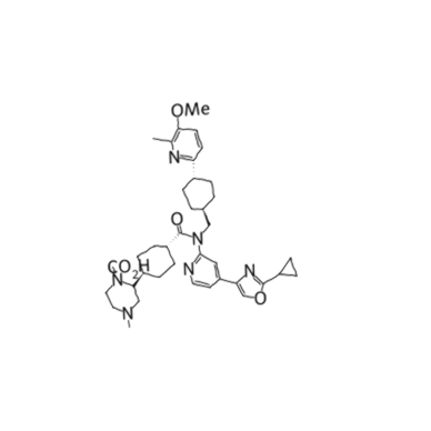 COc1ccc([C@H]2CC[C@H](CN(c3cc(-c4coc(C5CC5)n4)ccn3)C(=O)[C@H]3CC[C@H](C4CN(C)CCN4C(=O)O)CC3)CC2)nc1C